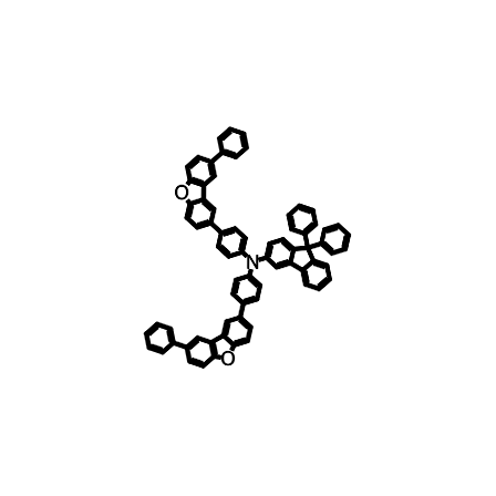 c1ccc(-c2ccc3oc4ccc(-c5ccc(N(c6ccc(-c7ccc8oc9ccc(-c%10ccccc%10)cc9c8c7)cc6)c6ccc7c(c6)-c6ccccc6C7(c6ccccc6)c6ccccc6)cc5)cc4c3c2)cc1